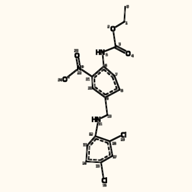 CCOC(=O)Nc1ccc(CNc2ccc(Cl)cc2Cl)cc1[N+](=O)[O-]